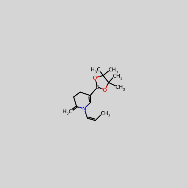 C=C1CCC(B2OC(C)(C)C(C)(C)O2)=CN1/C=C\C